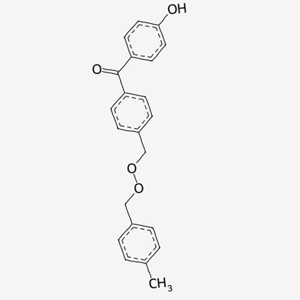 Cc1ccc(COOCc2ccc(C(=O)c3ccc(O)cc3)cc2)cc1